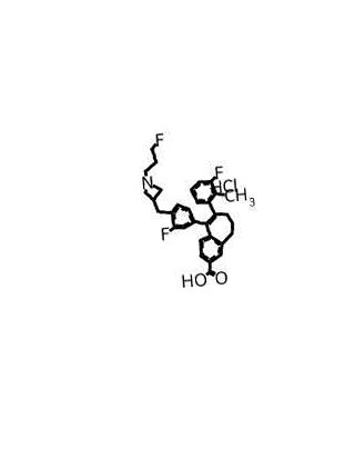 Cc1c(F)cccc1C1=C(c2ccc(CC3CN(CCCF)C3)c(F)c2)c2ccc(C(=O)O)cc2CCC1.Cl